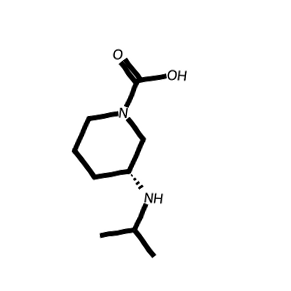 CC(C)N[C@@H]1CCCN(C(=O)O)C1